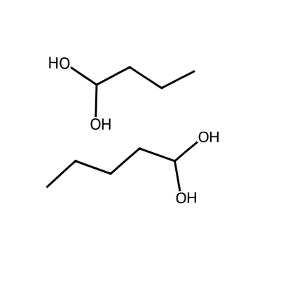 CCCC(O)O.CCCCC(O)O